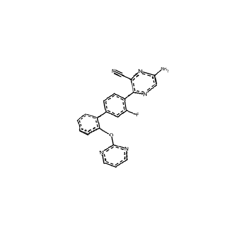 N#Cc1nc(N)cnc1-c1ccc(-c2ccccc2Oc2ncccn2)cc1F